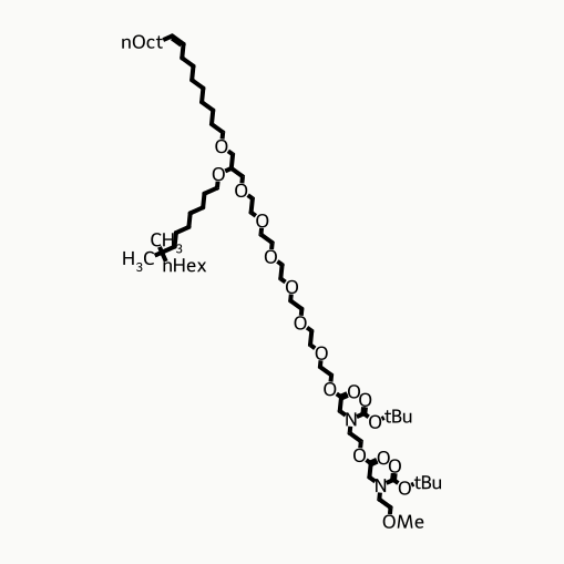 CCCCCCCC/C=C\CCCCCCCCOCC(COCCOCCOCCOCCOCCOCCOC(=O)CN(CCOC(=O)CN(CCOC)C(=O)OC(C)(C)C)C(=O)OC(C)(C)C)OCCCCCCCC(C)(C)CCCCCC